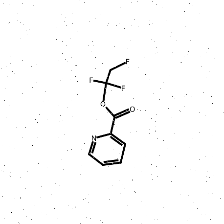 O=C(OC(F)(F)CF)c1ccccn1